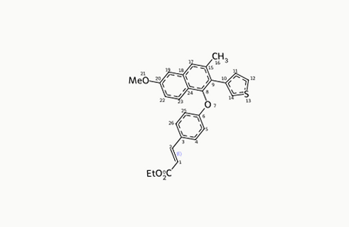 CCOC(=O)/C=C/c1ccc(Oc2c(-c3ccsc3)c(C)cc3cc(OC)ccc23)cc1